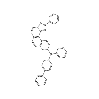 c1ccc(-c2ccc(N(c3ccccc3)c3ccc4c(ccc5ccc6nn(-c7ccccc7)nc6c54)c3)cc2)cc1